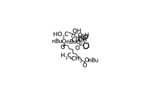 C=CC.CCCCOC(=O)CCCCCCCCC(=O)OCCCC.CCCCOC(=O)c1ccccc1C(=O)OCCCC.O=C(O)CC(O)(CC(=O)O)C(=O)O